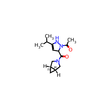 CC(=O)N1NC(C(C)C)=CC1C(=O)N1C[C@H]2C[C@H]2C1